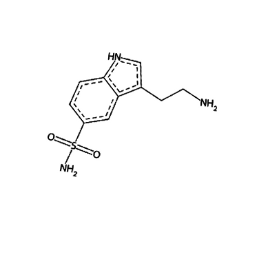 NCCc1c[nH]c2ccc(S(N)(=O)=O)cc12